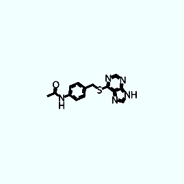 CC(=O)Nc1ccc(CSc2ncnc3[nH]cnc23)cc1